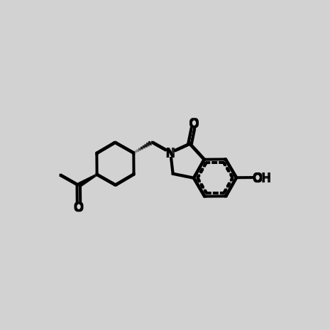 CC(=O)[C@H]1CC[C@H](CN2Cc3ccc(O)cc3C2=O)CC1